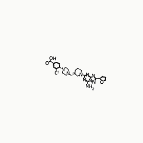 Nc1nc(N2CCC[C@@H](CN3CCN(c4ccc(C(=O)O)cc4Cl)CC3)C2)nc2nc(-c3ccco3)nn12